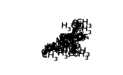 COc1ccc(CN(c2nn(C)c3c(-n4c([C@H](Cc5cc(F)cc(F)c5)NC(=O)OC(C)(C)C)nc(C#CC(C)(C)S(C)(=O)=O)cc4=O)ccc(Cl)c23)S(C)(=O)=O)cc1